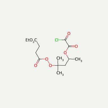 CCOC(=O)CCC(=O)OOC(C)(C)CC(C)OC(=O)C(=O)Cl